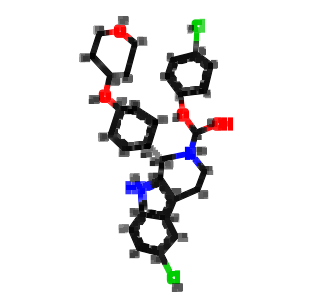 OC(Oc1ccc(Cl)cc1)N1CCc2c([nH]c3ccc(Cl)cc23)[C@@H]1c1ccc(OC2CCOCC2)cc1